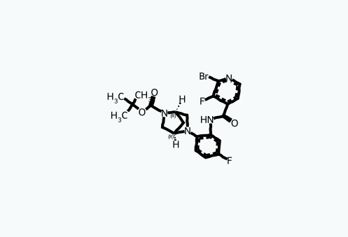 CC(C)(C)OC(=O)N1C[C@H]2C[C@@H]1CN2c1ccc(F)cc1NC(=O)c1ccnc(Br)c1F